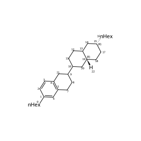 CCCCCCc1ccc2c(c1)CCC(C1CCC3C[C@H](CCCCCC)CC[C@@H]3C1)C2